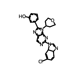 Oc1cccc(-c2nc3cnc(N4C=NC5C=CC(Cl)=CC54)nc3n2C2CCOCC2)c1